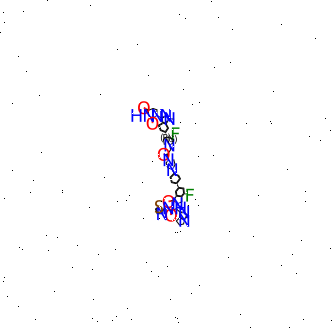 Cn1nc(N2CCC(=O)NC2=O)c2ccc([C@H]3CCN(CC(=O)N4CCN(c5ccc(-c6cc(F)c7c(c6)C(=O)N(C(C(=O)Nc6nccs6)c6ncn8c6CCC8)C7)cc5)CC4)C[C@H]3F)cc21